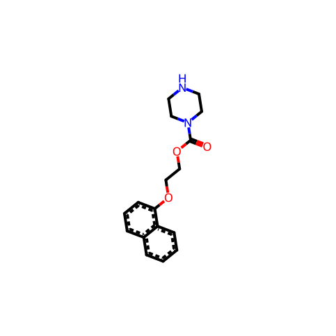 O=C(OCCOc1cccc2ccccc12)N1CCNCC1